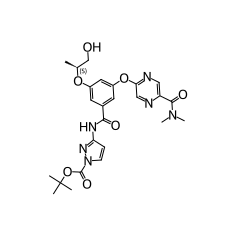 C[C@@H](CO)Oc1cc(Oc2cnc(C(=O)N(C)C)cn2)cc(C(=O)Nc2ccn(C(=O)OC(C)(C)C)n2)c1